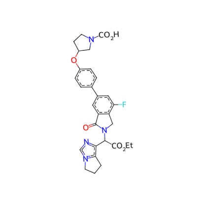 CCOC(=O)C(c1ncn2c1CCC2)N1Cc2c(F)cc(-c3ccc(OC4CCN(C(=O)O)C4)cc3)cc2C1=O